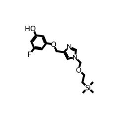 C[Si](C)(C)CCOCn1cnc(COc2cc(O)cc(F)c2)c1